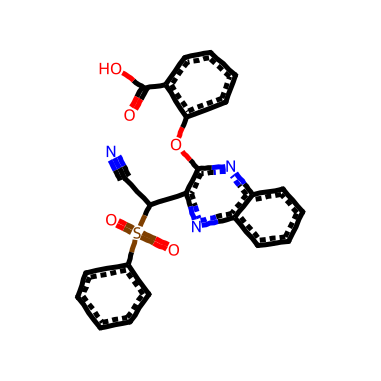 N#CC(c1nc2ccccc2nc1Oc1ccccc1C(=O)O)S(=O)(=O)c1ccccc1